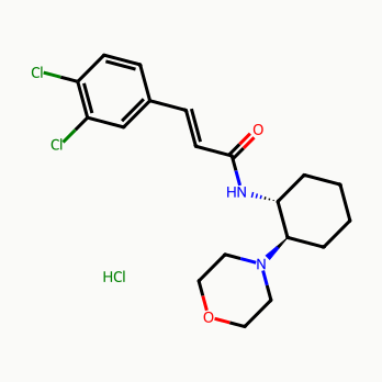 Cl.O=C(C=Cc1ccc(Cl)c(Cl)c1)N[C@@H]1CCCC[C@H]1N1CCOCC1